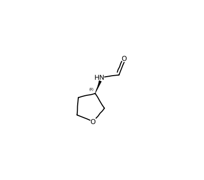 O=CN[C@@H]1CCOC1